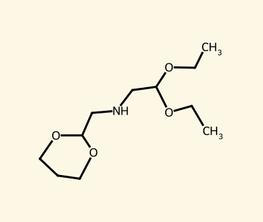 CCOC(CNCC1OCCCO1)OCC